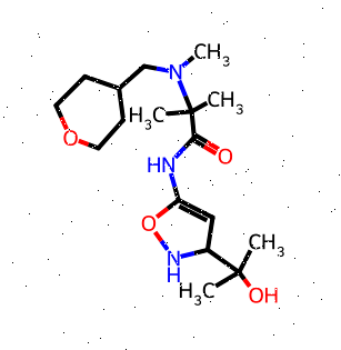 CN(CC1CCOCC1)C(C)(C)C(=O)NC1=CC(C(C)(C)O)NO1